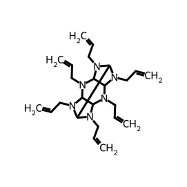 C=CCN1C2C3N(CC=C)C1C1N(CC=C)C(C(N1CC=C)N3CC=C)N2CC=C